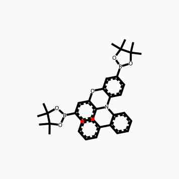 CC1(C)OB(c2ccc3c(c2)Oc2cc(B4OC(C)(C)C(C)(C)O4)ccc2N3c2ccccc2-c2ccccc2)OC1(C)C